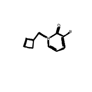 O=c1c(Br)cccn1CC1CCC1